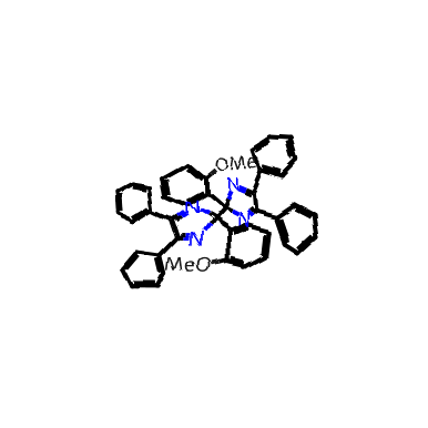 COc1ccccc1C1(C2(c3ccccc3OC)N=C(c3ccccc3)C(c3ccccc3)=N2)N=C(c2ccccc2)C(c2ccccc2)=N1